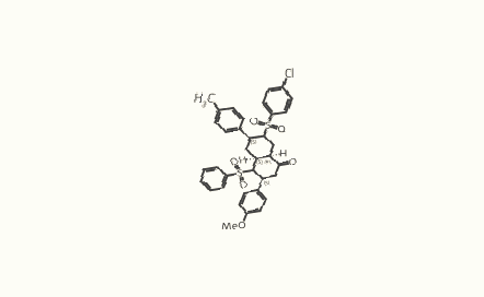 COc1ccc([C@@H]2CC(=O)[C@@H]3CC(S(=O)(=O)c4ccc(Cl)cc4)[C@H](c4ccc(C)cc4)C[C@@H]3C2S(=O)(=O)c2ccccc2)cc1